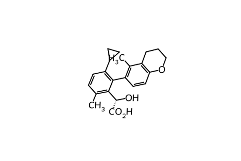 Cc1ccc(C2CC2)c(-c2ccc3c(c2C)CCCO3)c1[C@H](O)C(=O)O